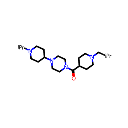 CC(C)CN1CCC(C(=O)N2CCN(C3CCN(C(C)C)CC3)CC2)CC1